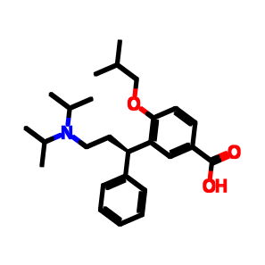 CC(C)COc1ccc(C(=O)O)cc1[C@H](CCN(C(C)C)C(C)C)c1ccccc1